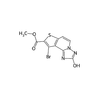 COC(=O)c1sc2ccn3nc(O)nc3c2c1Br